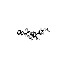 CC[C@@H](Nc1ncnc2c1nc(-c1cnc(C)nc1)n2CC)C(=O)N1CC2(CCCC2)C1